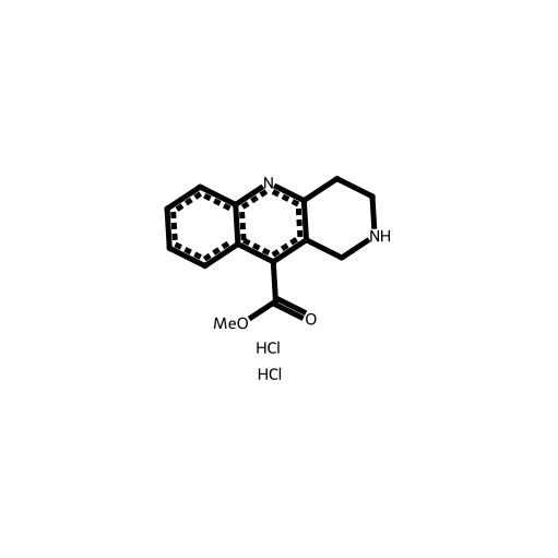 COC(=O)c1c2c(nc3ccccc13)CCNC2.Cl.Cl